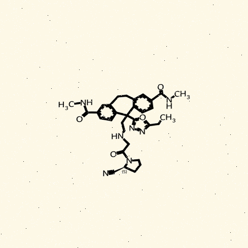 CCc1nnc(C2(CCNCC(=O)N3CCC[C@H]3C#N)c3ccc(C(=O)NC)cc3CCc3cc(C(=O)NC)ccc32)o1